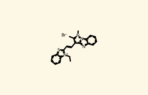 CC[n+]1c(C=Cc2c(C)n(C)n3c2nc2ccccc23)sc2ccccc21.[Br-]